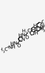 CCNCCNC(=O)c1ccc(NC(=O)C[C@H]2CC[C@H]3[C@@H]4CC[C@H]5NC(=O)C=C[C@]5(C)[C@H]4CC[C@]23C)nc1